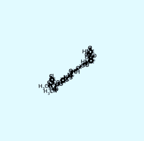 Cc1sc2c(c1C)C(c1ccc(Cl)cc1)=N[C@@H](CC(=O)Oc1ccc3nc(C4N=C(C(=O)NCCOCCOCC(=O)Nc5cccc6c5C(=O)N(C5CCC(=O)NC5=O)C6=O)CS4)sc3c1)c1nnc(C)n1-2